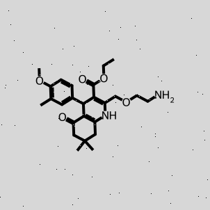 CCOC(=O)C1=C(COCCN)NC2=C(C(=O)CC(C)(C)C2)C1c1ccc(OC)c(C)c1